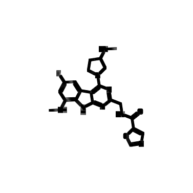 CNc1cc(F)cc2c1[nH]c1nc(CNC(=O)c3cnco3)nc(N3CCC(NC)C3)c12